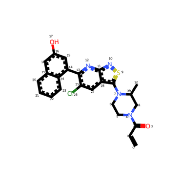 C=CC(=O)N1CCN(c2snc3nc(-c4cc(O)cc5ccccc45)c(Cl)cc23)C(C)C1